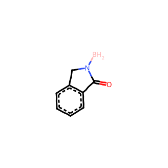 BN1Cc2ccccc2C1=O